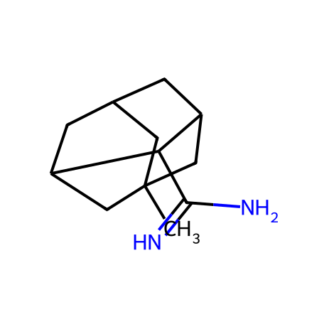 CC12CC3CC(C1)C(C(=N)N)C(C3)C2